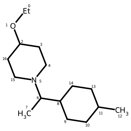 CCOC1CCN(C(C)C2CCC(C)CC2)CC1